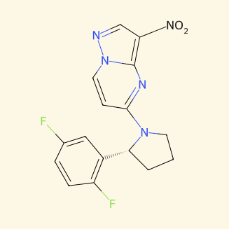 O=[N+]([O-])c1cnn2ccc(N3CCC[C@@H]3c3cc(F)ccc3F)nc12